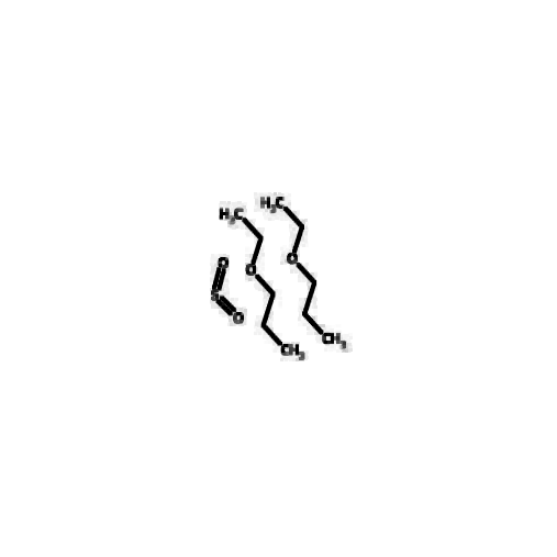 CCCOCC.CCCOCC.O=S=O